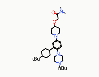 CCCCN1CCN(c2ccc(N3CCC(OCC(=O)N(C)C)CC3)cc2C2CCC(C(C)(C)C)CC2)CC1